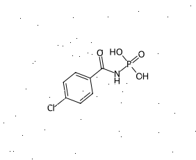 O=C(NP(=O)(O)O)c1ccc(Cl)cc1